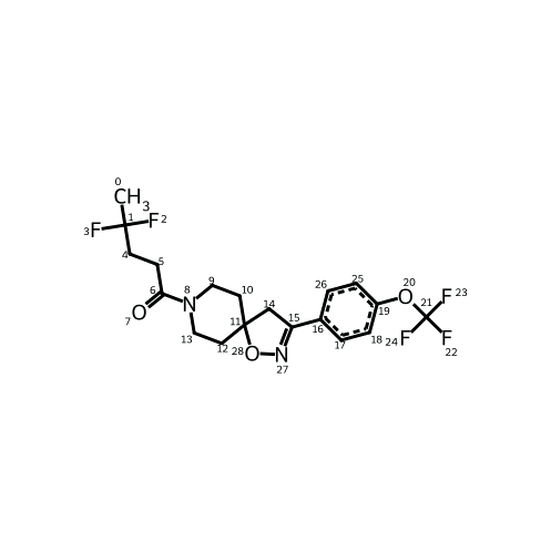 CC(F)(F)CCC(=O)N1CCC2(CC1)CC(c1ccc(OC(F)(F)F)cc1)=NO2